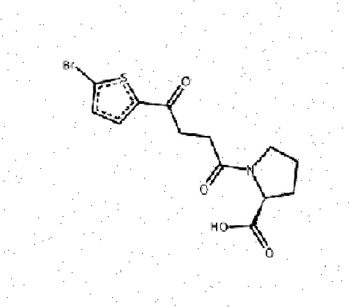 O=C(CCC(=O)N1CCC[C@H]1C(=O)O)c1ccc(Br)s1